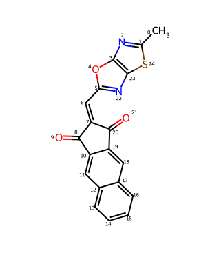 Cc1nc2oc(C=C3C(=O)c4cc5ccccc5cc4C3=O)nc2s1